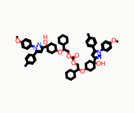 COc1ccc(-n2nc(C3(O)CCC(OC(COC(=O)OCC(OC4CCC(O)(c5cc(-c6ccc(C)cc6)n(-c6ccc(OC)cc6)n5)CC4)C4CCCCC4)C4CCCCC4)CC3)cc2-c2ccc(C)cc2)cc1